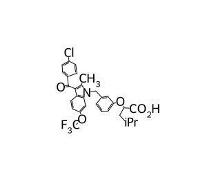 Cc1c(C(=O)c2ccc(Cl)cc2)c2ccc(OC(F)(F)F)cc2n1Cc1cccc(OC(CC(C)C)C(=O)O)c1